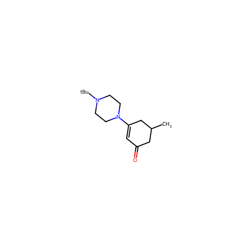 CC1CC(=O)C=C(N2CCN(C(C)(C)C)CC2)C1